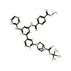 COC(=O)c1ccc(C(=O)Nc2cc(Nc3cnccn3)nc(-c3ccnc(N4CC5CC4CN5C(=O)OC(C)(C)C)c3)c2)cc1